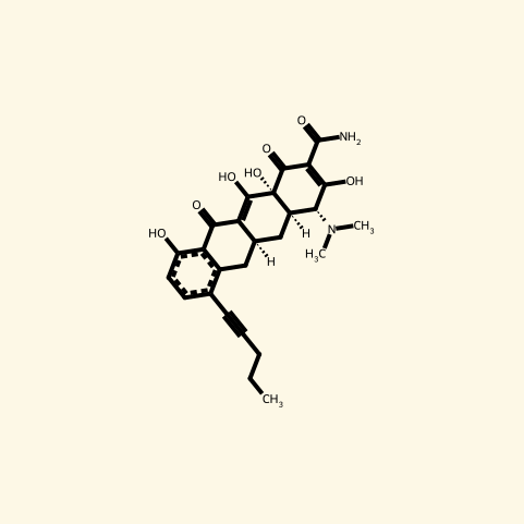 CCCC#Cc1ccc(O)c2c1C[C@@H]1C[C@@H]3[C@@H](N(C)C)C(O)=C(C(N)=O)C(=O)[C@]3(O)C(O)=C1C2=O